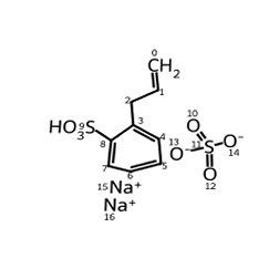 C=CCc1ccccc1S(=O)(=O)O.O=S(=O)([O-])[O-].[Na+].[Na+]